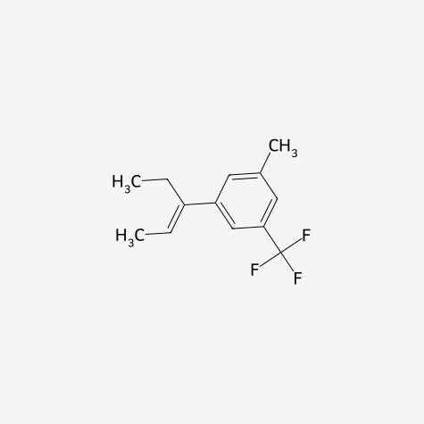 C/C=C(\CC)c1cc(C)cc(C(F)(F)F)c1